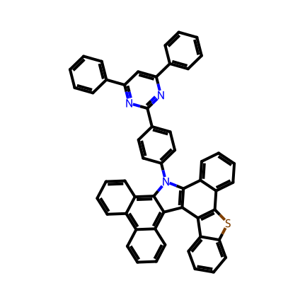 c1ccc(-c2cc(-c3ccccc3)nc(-c3ccc(-n4c5c6ccccc6c6ccccc6c5c5c6c7ccccc7sc6c6ccccc6c54)cc3)n2)cc1